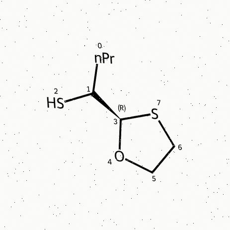 C[CH]CC(S)[C@@H]1OCCS1